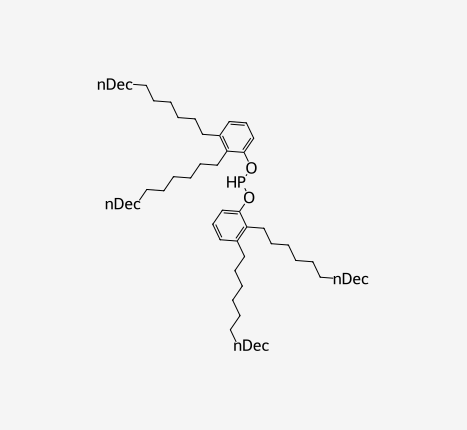 CCCCCCCCCCCCCCCCc1cccc(OPOc2cccc(CCCCCCCCCCCCCCCC)c2CCCCCCCCCCCCCCCC)c1CCCCCCCCCCCCCCCC